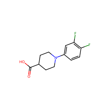 O=C(O)C1CCN(c2ccc(F)c(F)c2)CC1